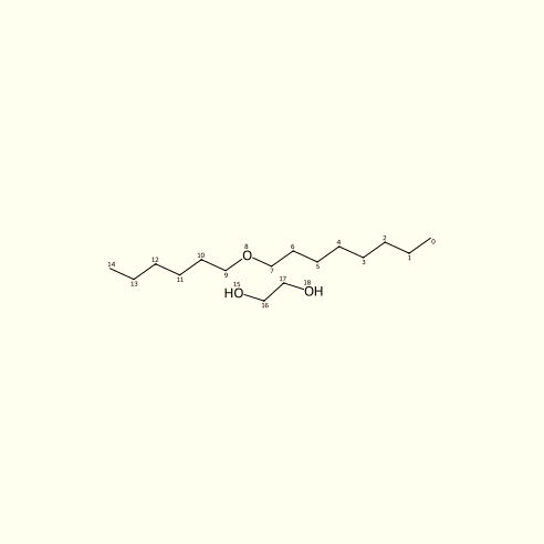 CCCCCCCCOCCCCCC.OCCO